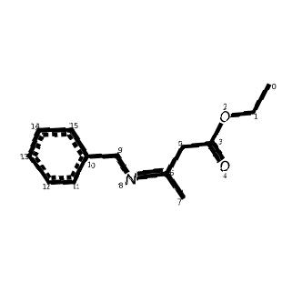 CCOC(=O)C/C(C)=N\Cc1ccccc1